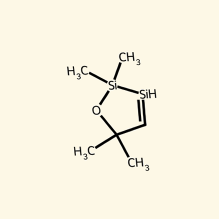 CC1(C)C=[SiH][Si](C)(C)O1